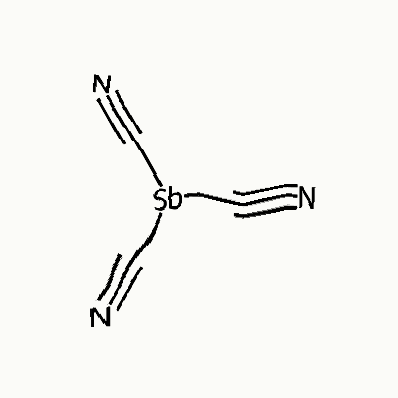 N#[C][Sb]([C]#N)[C]#N